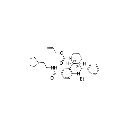 C=CCOC(=O)N1CCC[C@H]2C(c3ccccc3)N(CC)c3ccc(C(=O)NCCN4CCCC4)cc3[C@H]21